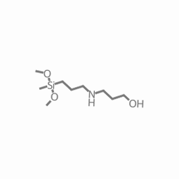 CO[Si](C)(CCCNCCCO)OC